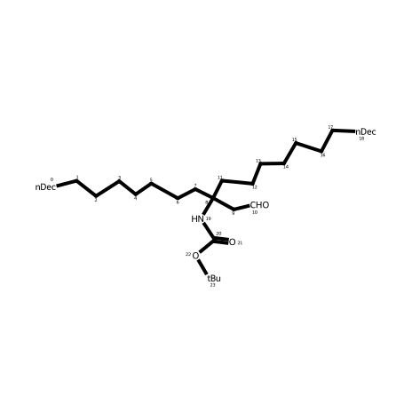 CCCCCCCCCCCCCCCCCC(CC=O)(CCCCCCCCCCCCCCCCC)NC(=O)OC(C)(C)C